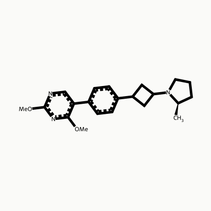 COc1ncc(-c2ccc(C3CC(N4CCC[C@H]4C)C3)cc2)c(OC)n1